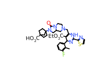 CCOC(=O)C1=C(CN2CCN3C(=O)N(C45CCC(C(=O)O)(CC4)C5)CC3C2)NC(c2nccs2)=NC1c1cccc(F)c1C